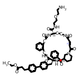 CCOC(=O)CCc1ccc(-c2ccc(C[C@@H]3NC(=O)[C@]4(Cc5ccccc5)CCCN(C4)C(=O)/C=C/C(=O)NCC[C@@H](C(=O)NCCOCCN)NC(=O)Cc4ccccc4CNC3=O)cc2)cc1